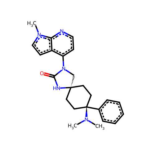 Cn1ccc2c(N3C[C@]4(CC[C@](c5ccccc5)(N(C)C)CC4)NC3=O)ccnc21